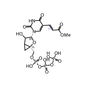 COC(=O)/C=C/c1cn([C@@H]2O[C@@]3(COP(=O)(O)OP(=O)(O)OP(=O)(O)O)CC3C2O)c(=O)[nH]c1=O